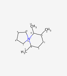 CC1CCC(C)[N+]2(CCCC2)C1C